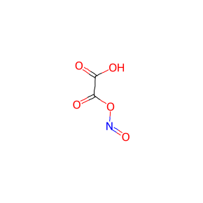 O=NOC(=O)C(=O)O